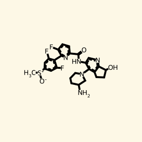 C[S+]([O-])c1cc(F)c(-c2nc(C(=O)Nc3cnc4c(c3N3CCCC(N)C3)CCC4O)ccc2F)c(F)c1